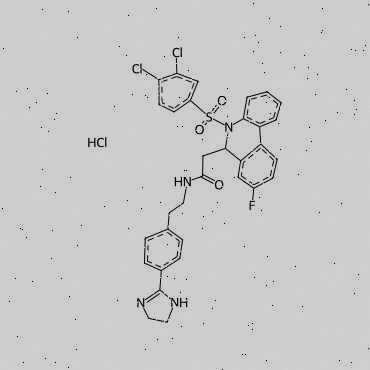 Cl.O=C(CC1c2cc(F)ccc2-c2ccccc2N1S(=O)(=O)c1ccc(Cl)c(Cl)c1)NCCc1ccc(C2=NCCN2)cc1